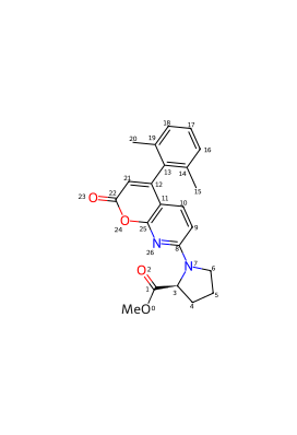 COC(=O)[C@@H]1CCCN1c1ccc2c(-c3c(C)cccc3C)cc(=O)oc2n1